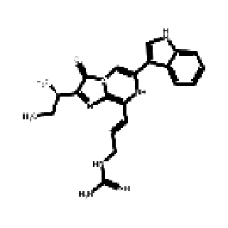 CC[C@@H](C)c1nc2c(/C=C/CNC(=N)N)[nH]c(-c3c[nH]c4ccccc34)cn-2c1=O